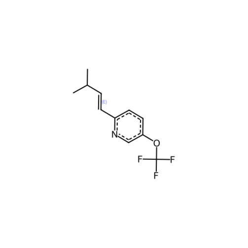 CC(C)/C=C/c1ccc(OC(F)(F)F)cn1